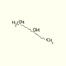 CCCCCCCCC(O)CCCCCCCC(C)O